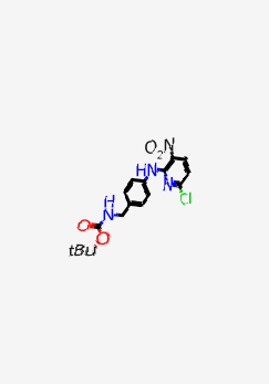 CC(C)(C)OC(=O)NCc1ccc(Nc2nc(Cl)ccc2[N+](=O)[O-])cc1